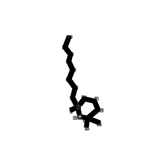 CCCCCCCC[Si]1(C)CCCC(C)(C)O1